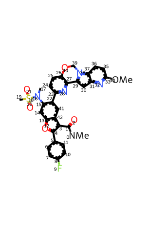 CNC(=O)c1c(-c2ccc(F)cc2)oc2cc(N(C)S(C)(=O)=O)c(-c3ccc4c(n3)-c3cc5nc(OC)ccc5n3CO4)cc12